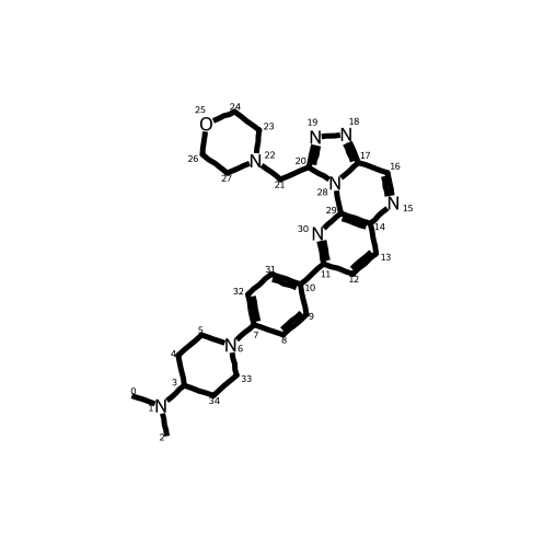 CN(C)C1CCN(c2ccc(-c3ccc4ncc5nnc(CN6CCOCC6)n5c4n3)cc2)CC1